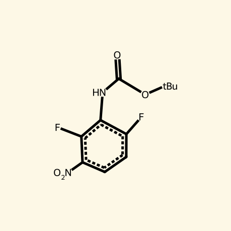 CC(C)(C)OC(=O)Nc1c(F)ccc([N+](=O)[O-])c1F